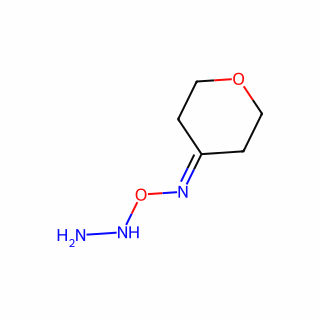 NNON=C1CCOCC1